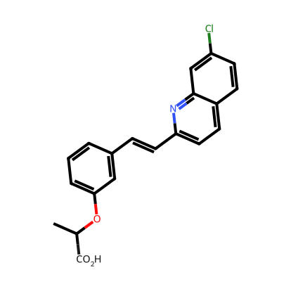 CC(Oc1cccc(C=Cc2ccc3ccc(Cl)cc3n2)c1)C(=O)O